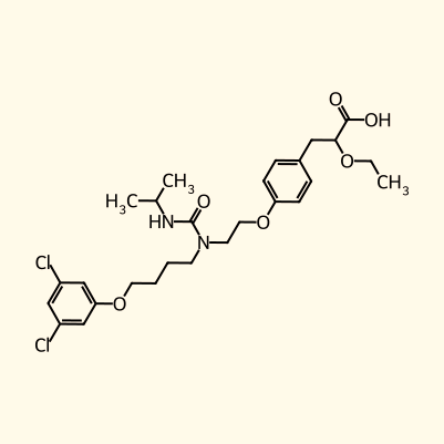 CCOC(Cc1ccc(OCCN(CCCCOc2cc(Cl)cc(Cl)c2)C(=O)NC(C)C)cc1)C(=O)O